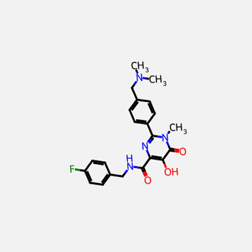 CN(C)Cc1ccc(-c2nc(C(=O)NCc3ccc(F)cc3)c(O)c(=O)n2C)cc1